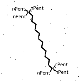 CCCCC[N+](CCCCC)(CCCCC)CCCCCCCCCCCC[N+](CCCCC)(CCCCC)CCCCC